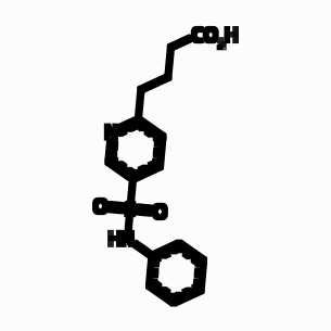 O=C(O)CCCc1ccc(S(=O)(=O)Nc2ccccc2)cn1